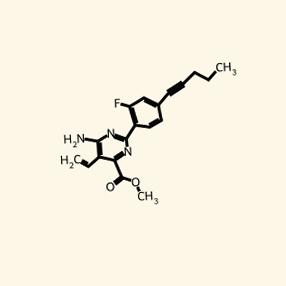 C=Cc1c(N)nc(-c2ccc(C#CCCC)cc2F)nc1C(=O)OC